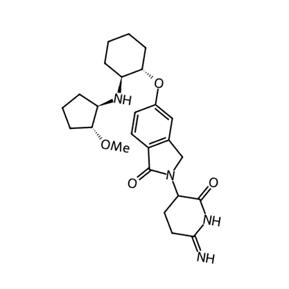 CO[C@@H]1CCC[C@H]1N[C@H]1CCCC[C@@H]1Oc1ccc2c(c1)CN(C1CCC(=N)NC1=O)C2=O